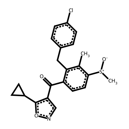 Cc1c([S+](C)[O-])ccc(C(=O)c2cnoc2C2CC2)c1Cc1ccc(Cl)cc1